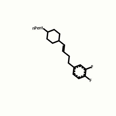 CCCCCC1CCC(C=CCCc2ccc(F)c(F)c2)CC1